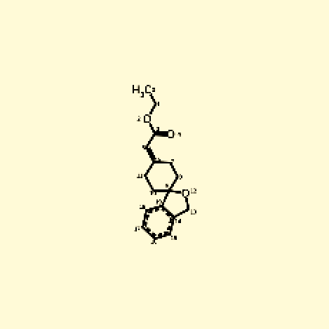 CCOC(=O)C=C1CCC2(CC1)OCc1ccccc12